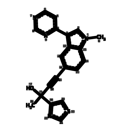 Cn1cc(-c2ccncn2)c2cc(C#CC(C)(O)c3cscn3)ccc21